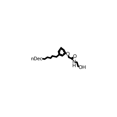 CCCCCCCCCCCCCCCc1cccc(OCC(=O)NCCO)c1